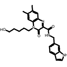 Cc1cc2nc(C(=O)NCc3ccc4cc[nH]c4c3)c(=O)n(CCCCCO)c2cc1C